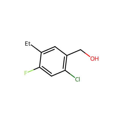 CCc1cc(CO)c(Cl)cc1F